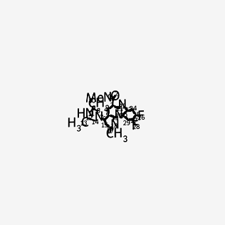 CNC(=O)c1cc2c(N3C[C@@H](C)N[C@@H](C)C3)cc(C)nc2n2c1nc1cc(F)c(F)cc12